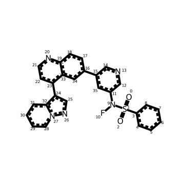 O=S(=O)(c1ccccc1)N(F)c1cncc(-c2ccc3nccc(-c4cnn5ccccc45)c3c2)c1